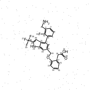 NCc1cccc(-c2cc(COc3ccccc3CC(=O)O)cc3[nH]c(C(F)(F)F)cc23)c1F